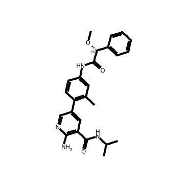 CO[C@@H](C(=O)Nc1ccc(-c2cnc(N)c(C(=O)NC(C)C)c2)c(C)c1)c1ccccc1